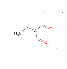 C[CH2][Al]([CH]=O)[CH]=O